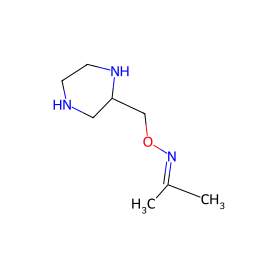 CC(C)=NOCC1CNCCN1